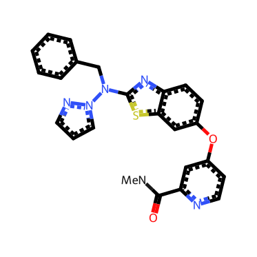 CNC(=O)c1cc(Oc2ccc3nc(N(Cc4ccccc4)n4cccn4)sc3c2)ccn1